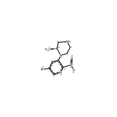 C[C@H]1CNCCN1c1cc(Br)cnc1[N+](=O)[O-]